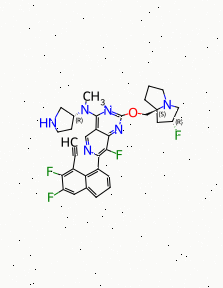 C#Cc1c(F)c(F)cc2cccc(-c3ncc4c(N(C)[C@@H]5CCNC5)nc(OC[C@@]56CCCN5C[C@H](F)C6)nc4c3F)c12